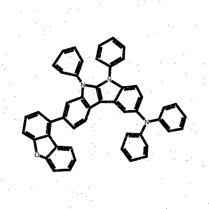 c1ccc(N(c2ccccc2)c2ccc3c(c2)c2c4ccc(-c5cccc6oc7ccccc7c56)cc4n(-c4ccccc4)c2n3-c2ccccc2)cc1